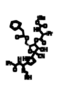 CC(C)C(=O)N/C(=N/C=N)c1ccc([C@]2(C#N)O[C@H](COC(=O)Cc3ccccc3)[C@@H](OC(=O)[C@@H](NC(=O)OC(C)(C)C)C(C)C)[C@H]2O)[nH]1